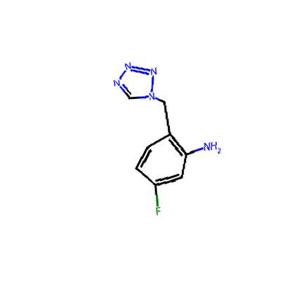 Nc1cc(F)ccc1Cn1cnnn1